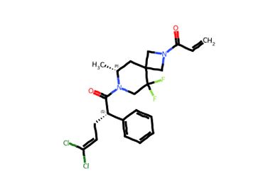 C=CC(=O)N1CC2(C[C@@H](C)N(C(=O)[C@@H](CC=C(Cl)Cl)c3ccccc3)CC2(F)F)C1